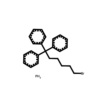 BrCCCCCC(c1ccccc1)(c1ccccc1)c1ccccc1.P